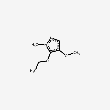 CCOc1c(OC)[c]nn1C